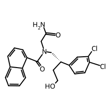 NC(=O)CN(C[C@@H](CCO)c1ccc(Cl)c(Cl)c1)C(=O)c1cccc2ccccc12